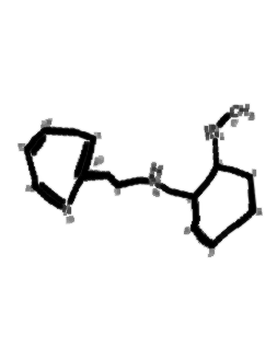 CNC1CCCCC1NCc1ccccn1